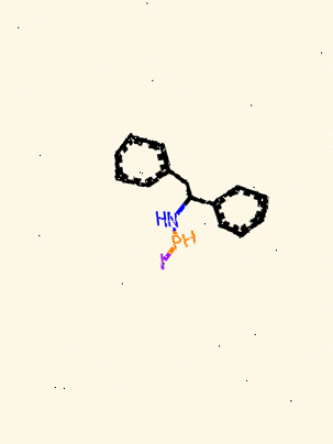 IPNC(Cc1ccccc1)c1ccccc1